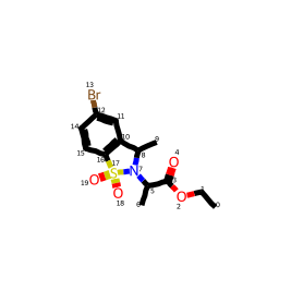 CCOC(=O)C(C)N1C(C)c2cc(Br)ccc2S1(=O)=O